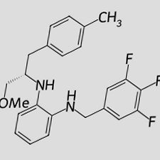 COC[C@H](Cc1ccc(C)cc1)Nc1ccccc1NCc1cc(F)c(F)c(F)c1